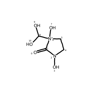 O=C1N(O)CC[N+]1(O)C(O)O